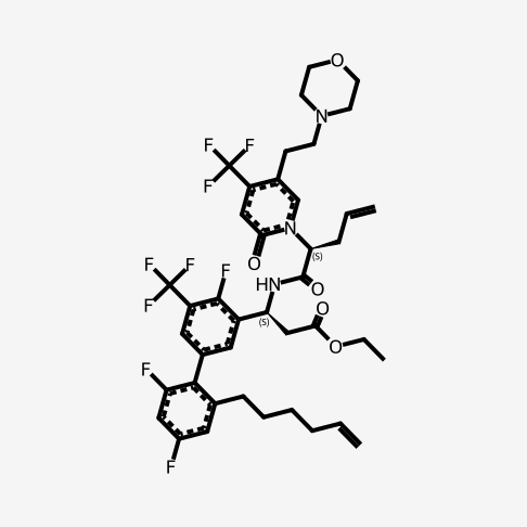 C=CCCCCc1cc(F)cc(F)c1-c1cc([C@H](CC(=O)OCC)NC(=O)[C@H](CC=C)n2cc(CCN3CCOCC3)c(C(F)(F)F)cc2=O)c(F)c(C(F)(F)F)c1